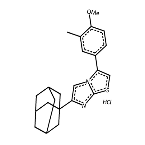 COc1ccc(-c2csc3nc(C45CC6CC(CC(C6)C4)C5)cn23)cc1C.Cl